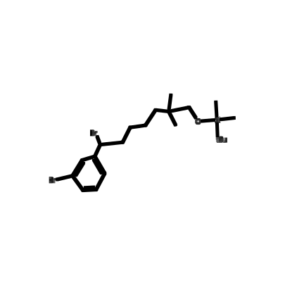 CC(C)(CCCCC(Br)c1cccc(Br)c1)CO[Si](C)(C)C(C)(C)C